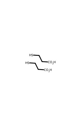 O=C(O)CCS.O=C(O)CCS